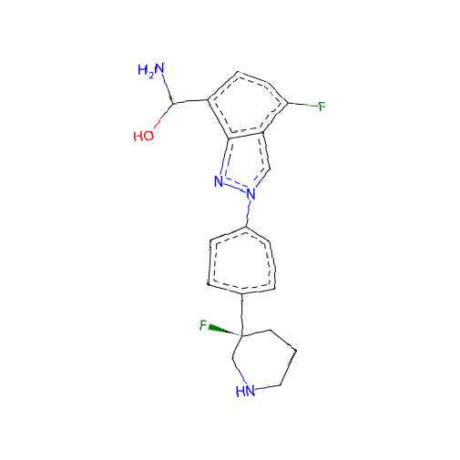 NC(O)c1ccc(F)c2cn(-c3ccc([C@]4(F)CCCNC4)cc3)nc12